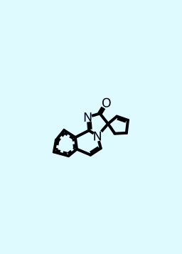 O=C1N=C2c3ccccc3C=CN2C12C=CCC2